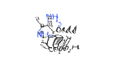 CC(=O)O.CC(=O)O.CC(=O)O.CC(=O)O.COCC(N)C(C)N